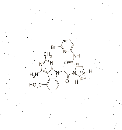 Cc1nc(N)c2c3c(C(=O)O)cccc3n(CC(=O)N3[C@@H]4C[C@@H]4C[C@H]3C(=O)Nc3cccc(Br)n3)c2n1